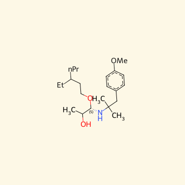 CCCC(CC)CCO[C@H](NC(C)(C)Cc1ccc(OC)cc1)C(C)O